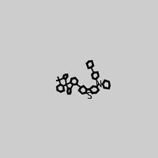 CC1(C)c2ccccc2C2(c3ccccc3-c3c(-c4ccc5sc6ccc(N(c7ccccc7)c7ccc(-c8ccccc8)cc7)cc6c5c4)cccc32)c2ccccc21